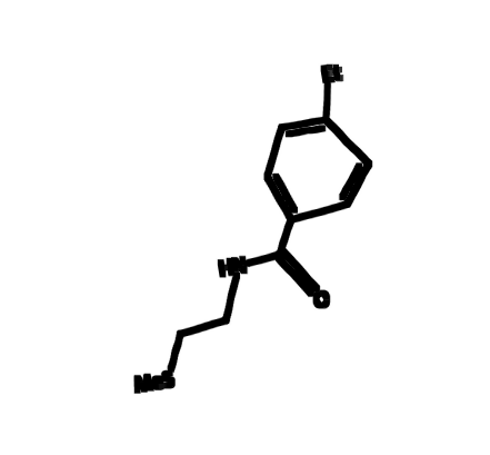 CCc1ccc(C(=O)NCCSC)cc1